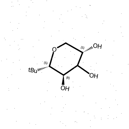 CC(C)(C)[C@@H]1OC[C@H](O)C(O)[C@H]1O